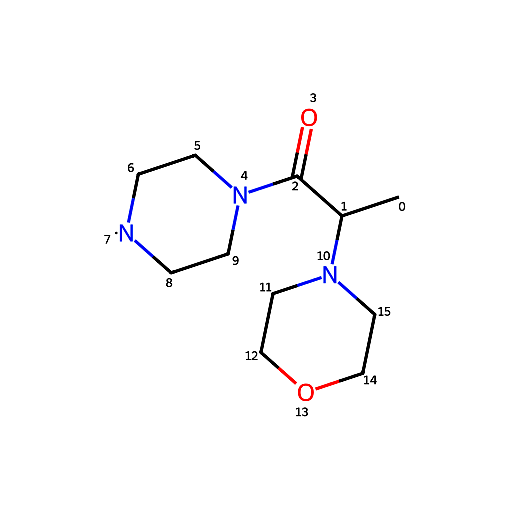 CC(C(=O)N1CC[N]CC1)N1CCOCC1